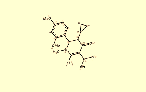 CCCN(CCC)C1=C(C)N(C)C(c2ccc(OC)cc2OC)N(C2CC2)C1=O